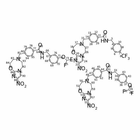 O=C(NCc1ccc(C(F)(F)F)cc1)c1ccc(CN2CCOc3nc([N+](=O)[O-])cn3CC2)cc1.O=C(NCc1ccc(OC(F)F)cc1)c1ccc(CN2CCOc3nc([N+](=O)[O-])cn3CC2)cc1.O=C(NCc1cccc(OC(F)F)c1)c1ccc(CN2CCOc3nc([N+](=O)[O-])cn3CC2)cc1